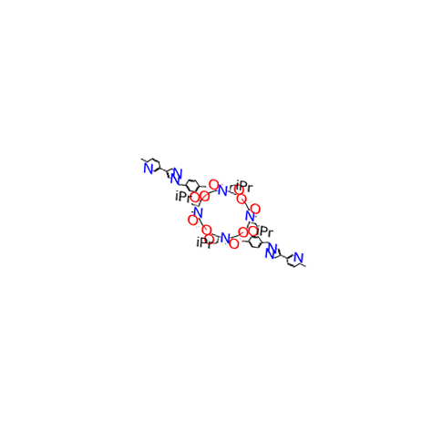 Cc1ccc(-c2cnn(Cc3ccc(C[C@H]4OC(=O)[C@H](CC(C)C)N(C)C(=O)[C@@H](C)OC(=O)[C@H](CC(C)C)N(C)C(=O)[C@@H](Cc5ccc(Cn6cc(-c7ccc(C)nc7)cn6)cc5)OC(=O)[C@H](CC(C)C)N(C)C(=O)[C@@H](C)OC(=O)[C@H](CC(C)C)N(C)C4=O)cc3)c2)cn1